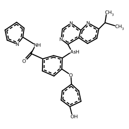 CC(C)c1ccc2c([AsH]c3cc(C(=O)Nc4ccccn4)ccc3Oc3ccc(O)cc3)ncnc2n1